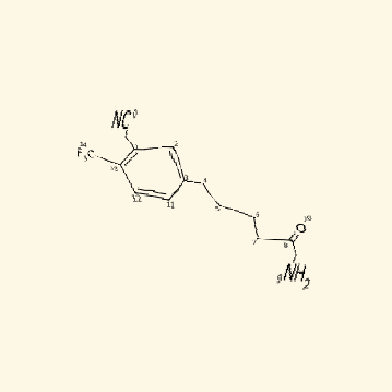 N#Cc1cc(CCCCC(N)=O)ccc1C(F)(F)F